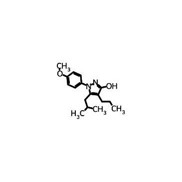 CCCc1c(O)nn(-c2ccc(OC)cc2)c1CC(C)C